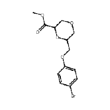 COC(=O)C1COCC(COc2ccc(Br)cc2)O1